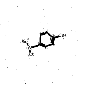 CCC(C)N(CC)c1ccc(O)cc1